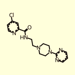 O=C(NCCN1CCN(c2ncccn2)CC1)c1cc(Cl)ccn1